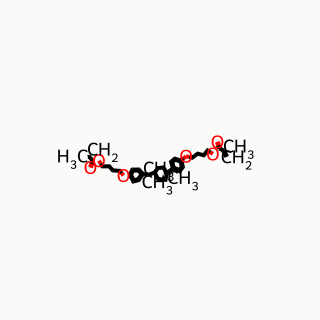 C=C(C)C(=O)OCCCCOc1ccc(C2(C)CCC(C(C)(C)c3ccc(OCCCCOC(=O)C(=C)C)cc3)CC2)cc1